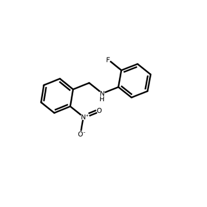 O=[N+]([O-])c1ccccc1CNc1ccccc1F